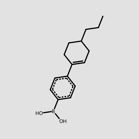 CCCC1CC=C(c2ccc(B(O)O)cc2)CC1